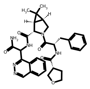 CC1(C)[C@@H]2[C@@H](C(=O)NC(C(N)=O)c3nncc4ccccc34)N(C(=O)[C@H](Cc3ccccc3)NC(=O)[C@@H]3CCOC3)C[C@@H]21